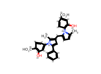 Cc1ccc(Cc2cc(-c3ccccc3)n(-c3ccc(C(=O)O)c(O)c3)c2C)n1-c1ccc(C(=O)O)cc1O